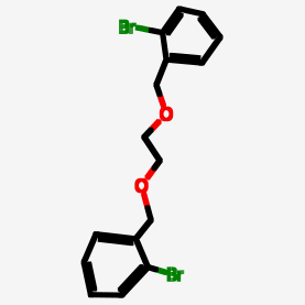 Brc1ccccc1COCCOCc1ccccc1Br